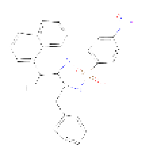 CC(c1cccc2ccccc12)C(N)C(Cc1ccccc1)NS(=O)(=O)c1ccc([N+](=O)[O-])cc1